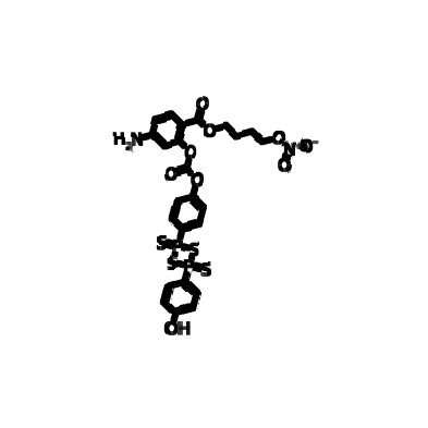 Nc1ccc(C(=O)OCCCCO[N+](=O)[O-])c(OC(=O)Oc2ccc(P3(=S)SP(=S)(c4ccc(O)cc4)S3)cc2)c1